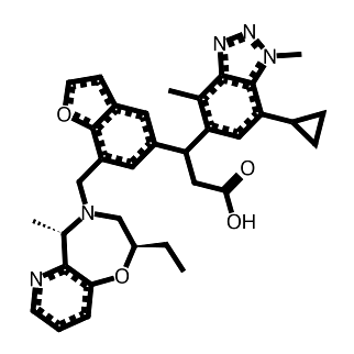 CC[C@@H]1CN(Cc2cc(C(CC(=O)O)c3cc(C4CC4)c4c(nnn4C)c3C)cc3ccoc23)[C@@H](C)c2ncccc2O1